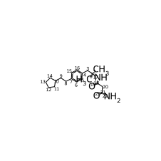 CC(C)(Cc1ccc(CCC2CCCC2)cc1)NC(=O)CC(N)=O